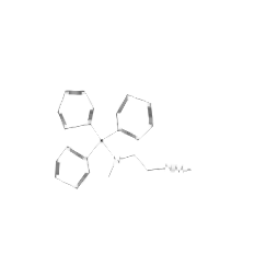 CNCCN(C)C(c1ccccc1)(c1ccccc1)c1ccccc1